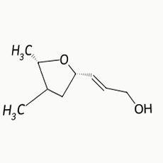 CC1C[C@@H](/C=C/CO)O[C@H]1C